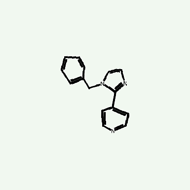 c1ccc(Cn2ccnc2-c2ccncc2)cc1